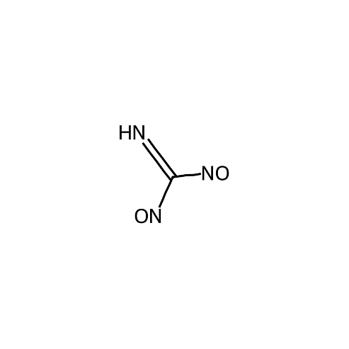 N=C(N=O)N=O